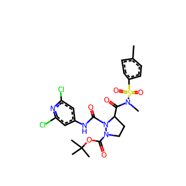 Cc1ccc(S(=O)(=O)N(C)C(=O)C2CCN(C(=O)OC(C)(C)C)N2C(=O)Nc2cc(Cl)nc(Cl)c2)cc1